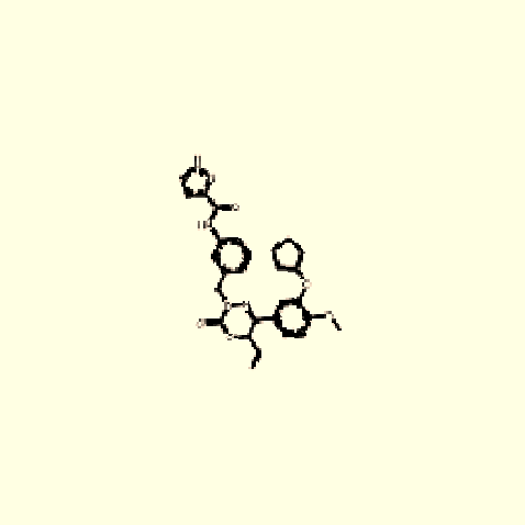 CCC1OC(=O)N(Cc2cccc(NC(=O)c3cc[nH]n3)c2)N=C1c1ccc(OC)c(OC2CCCC2)c1